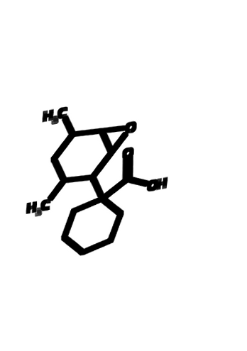 CC1CC(C)C2OC2[C]1C1(C(=O)O)CCCCC1